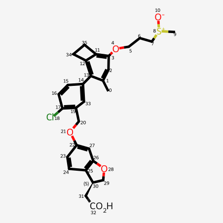 Cc1cc(OCCC[S+](C)[O-])c2c(c1-c1ccc(Cl)c(COc3ccc4c(c3)OC[C@H]4CC(=O)O)c1)CC2